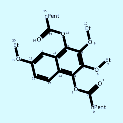 CCCCCC(=O)Oc1c(OCC)c(OCC)c(OC(=O)CCCCC)c2cc(OCC)ccc12